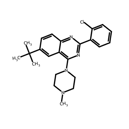 CN1CCN(c2nc(-c3ccccc3Cl)nc3ccc(C(C)(C)C)cc23)CC1